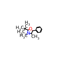 CC1C(c2ccccc2)OC(C(C)(C)C)N1C